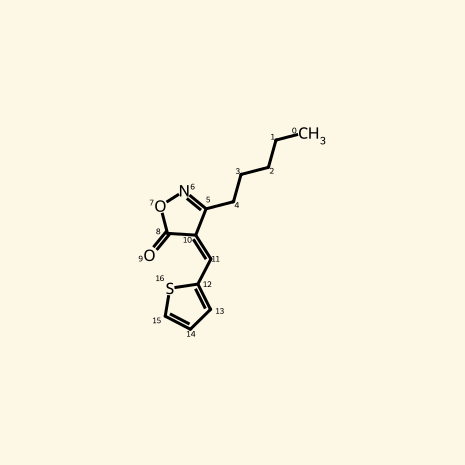 CCCCCC1=NOC(=O)C1=Cc1cccs1